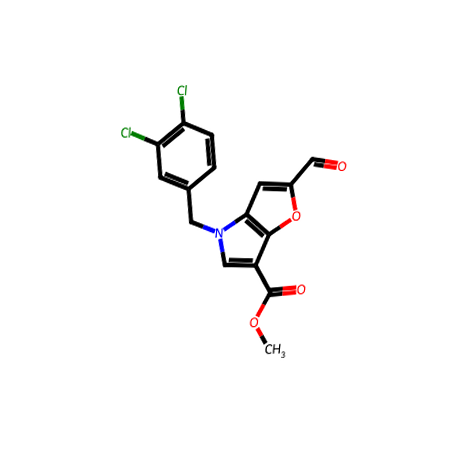 COC(=O)c1cn(Cc2ccc(Cl)c(Cl)c2)c2cc(C=O)oc12